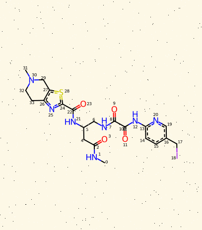 CNC(=O)CC(CNC(=O)C(=O)Nc1ccc(CI)cn1)NC(=O)c1nc2c(s1)CN(C)CC2